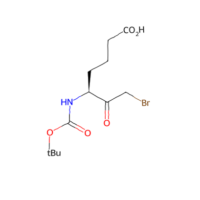 CC(C)(C)OC(=O)N[C@@H](CCCC(=O)O)C(=O)CBr